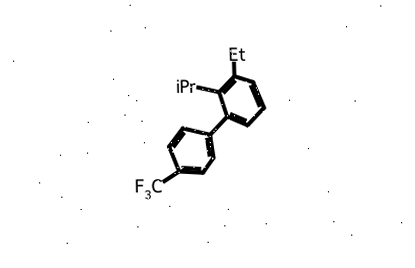 CCc1cccc(-c2ccc(C(F)(F)F)cc2)c1C(C)C